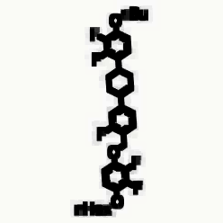 CCCCCCOc1ccc(OCc2ccc(C3=CCC(c4ccc(OCCCC)c(F)c4F)CC3)cc2F)c(F)c1F